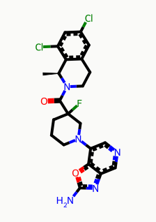 C[C@H]1c2c(Cl)cc(Cl)cc2CCN1C(=O)C1(F)CCCN(c2cncc3nc(N)oc23)C1